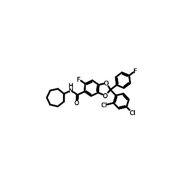 O=C(NC1CCCCCC1)c1cc2c(cc1F)OC(c1ccc(F)cc1)(c1ccc(Cl)cc1Cl)O2